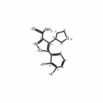 NC(=O)c1noc(-c2cccc(F)c2F)c1C1CCOC1